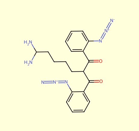 [N-]=[N+]=Nc1ccccc1C(=O)C(CCCCC(N)N)C(=O)c1ccccc1N=[N+]=[N-]